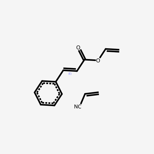 C=CC#N.C=COC(=O)/C=C/c1ccccc1